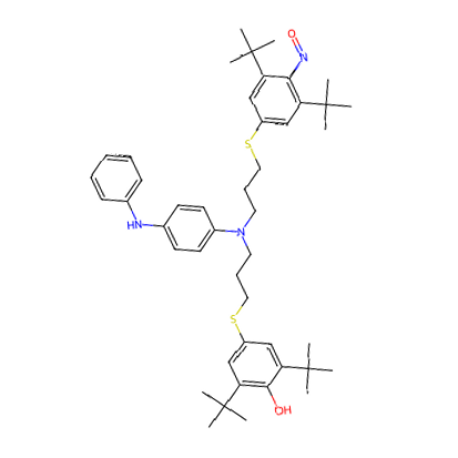 CC(C)(C)c1cc(SCCCN(CCCSc2cc(C(C)(C)C)c(N=O)c(C(C)(C)C)c2)c2ccc(Nc3ccccc3)cc2)cc(C(C)(C)C)c1O